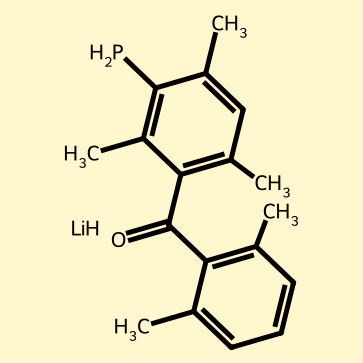 Cc1cc(C)c(C(=O)c2c(C)cccc2C)c(C)c1P.[LiH]